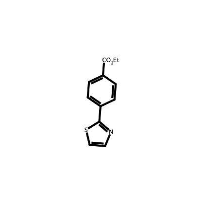 CCOC(=O)c1ccc(-c2nccs2)cc1